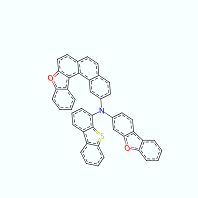 c1ccc2c(c1)oc1cc(N(c3ccc4ccc5ccc6oc7ccccc7c6c5c4c3)c3cccc4c3sc3ccccc34)ccc12